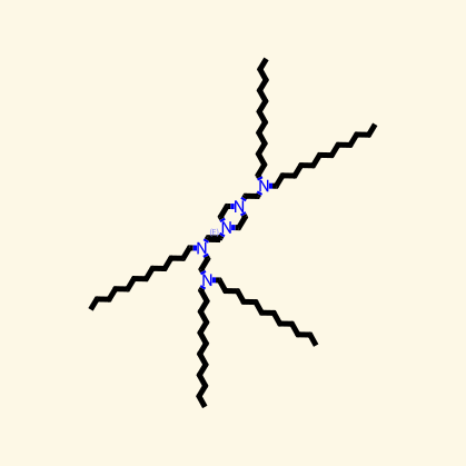 CCCCCCCCCCCCN(/C=C/N1CCN(CCN(CCCCCCCCCCCC)CCCCCCCCCCCC)CC1)CCN(CCCCCCCCCCCC)CCCCCCCCCCCC